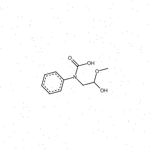 COC(O)CN(C(=O)O)c1ccccc1